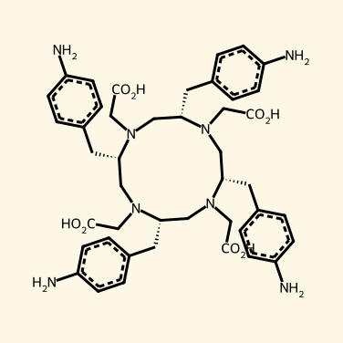 Nc1ccc(C[C@H]2CN(CC(=O)O)[C@@H](Cc3ccc(N)cc3)CN(CC(=O)O)[C@@H](Cc3ccc(N)cc3)CN(CC(=O)O)[C@@H](Cc3ccc(N)cc3)CN2CC(=O)O)cc1